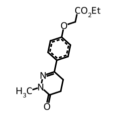 CCOC(=O)COc1ccc(C2=NN(C)C(=O)CC2)cc1